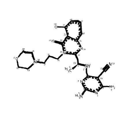 C[C@H](Nc1nc(N)nc(N)c1C#N)c1nc2cccc(Cl)c2c(=O)n1CCCN1CCOCC1